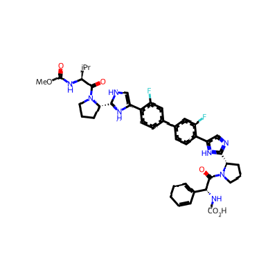 COC(=O)N[C@H](C(=O)N1CCC[C@H]1C1NC=C(c2ccc(-c3ccc(-c4cnc([C@@H]5CCCN5C(=O)[C@H](NC(=O)O)C5=CCCC=C5)[nH]4)c(F)c3)cc2F)N1)C(C)C